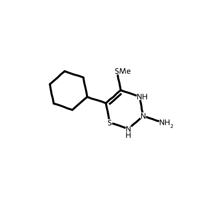 CSc1[nH]n(N)[nH]sc1C1CCCCC1